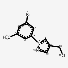 Cc1cc(Br)cc(-n2cc(CCl)cn2)c1